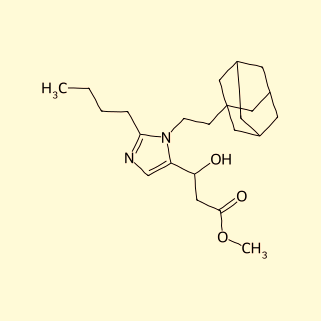 CCCCc1ncc(C(O)CC(=O)OC)n1CCC12CC3CC(CC(C3)C1)C2